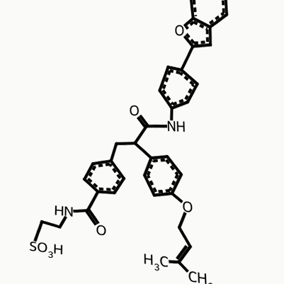 CC(C)=CCOc1ccc(C(Cc2ccc(C(=O)NCCS(=O)(=O)O)cc2)C(=O)Nc2ccc(-c3cc4ccccc4o3)cc2)cc1